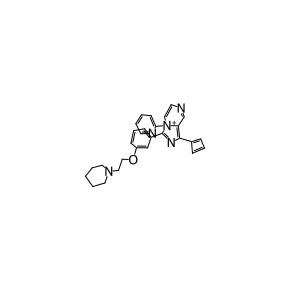 C1=CC(C2=C3C=NC=C[N+]3(c3ccccn3)C(c3cccc(OCCN4CCCCC4)c3)=N2)=C1